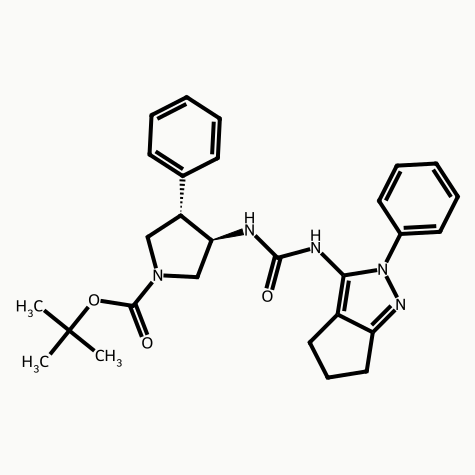 CC(C)(C)OC(=O)N1C[C@H](NC(=O)Nc2c3c(nn2-c2ccccc2)CCC3)[C@@H](c2ccccc2)C1